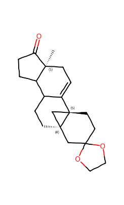 C[C@]12CC=C3C(CC[C@@]45CC6(CC[C@@]34C5)OCCO6)C1CCC2=O